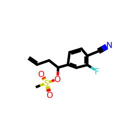 C=CCC(OS(C)(=O)=O)c1ccc(C#N)c(F)c1